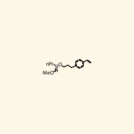 C=Cc1ccc(CCCO[SiH](CCC)COC)cc1